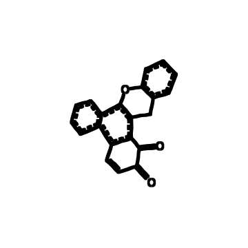 O=C1C=Cc2c(c3c(c4ccccc24)Oc2ccccc2C3)C1=O